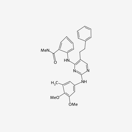 CNC(=O)c1ccccc1Nc1nc(Nc2cc(C)c(OC)c(OC)c2)ncc1CCc1ccccc1